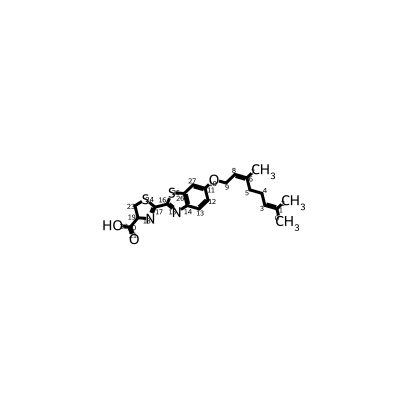 CC(C)=CCCC(C)=CCOc1ccc2nc(C3=NC(C(=O)O)CS3)sc2c1